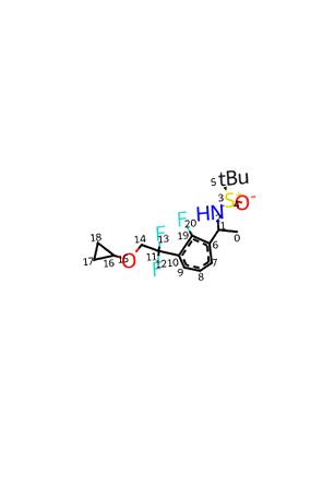 CC(N[S@+]([O-])C(C)(C)C)c1cccc(C(F)(F)COC2CC2)c1F